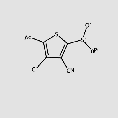 CCC[S+]([O-])c1sc(C(C)=O)c(Cl)c1C#N